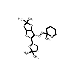 CC1(C)OC2O[C@H]([C@H]3COC(C)(C)O3)[C@@H](OOC3(C)CCCCO3)C2O1